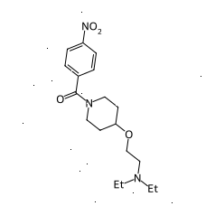 CCN(CC)CCOC1CCN(C(=O)c2ccc([N+](=O)[O-])cc2)CC1